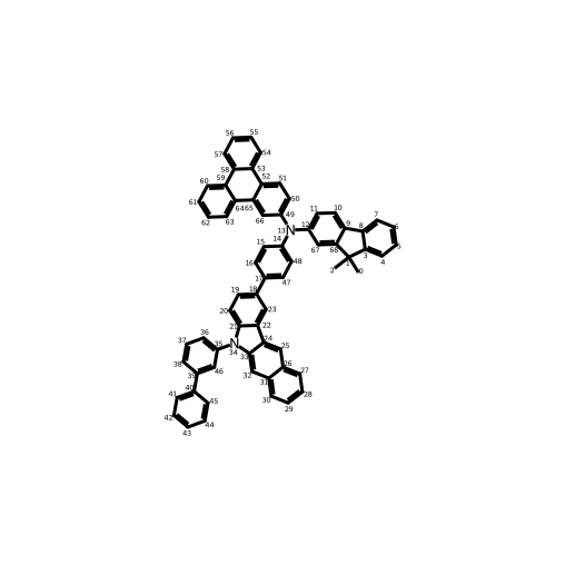 CC1(C)c2ccccc2-c2ccc(N(c3ccc(-c4ccc5c(c4)c4cc6ccccc6cc4n5-c4cccc(-c5ccccc5)c4)cc3)c3ccc4c5ccccc5c5ccccc5c4c3)cc21